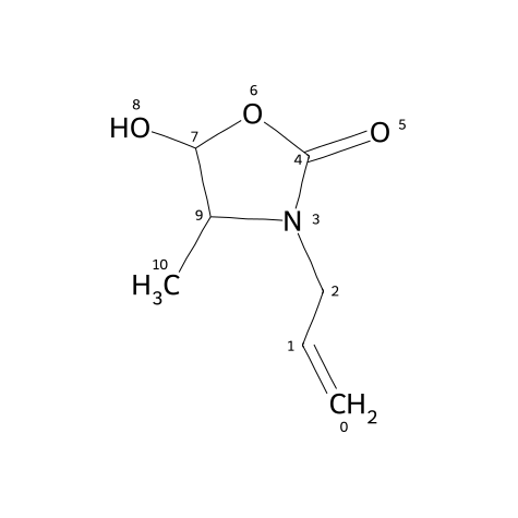 C=CCN1C(=O)OC(O)C1C